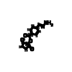 NN=Cc1ccc(C(=O)ON2C(=O)CCC2=O)cc1